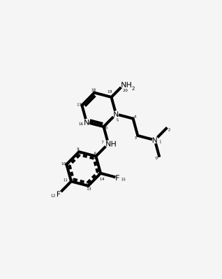 CN(C)CCN1C(Nc2ccc(F)cc2F)=NC=CC1N